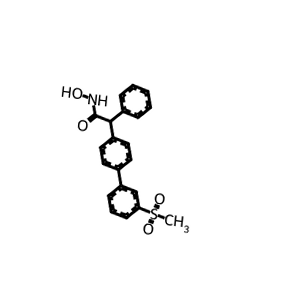 CS(=O)(=O)c1cccc(-c2ccc(C(C(=O)NO)c3ccccc3)cc2)c1